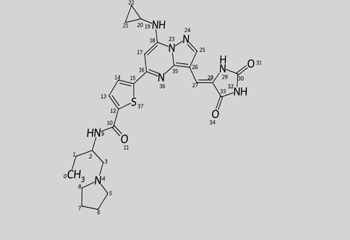 CCC(CN1CCCC1)NC(=O)c1ccc(-c2cc(NC3CC3)n3ncc(/C=C4\NC(=O)NC4=O)c3n2)s1